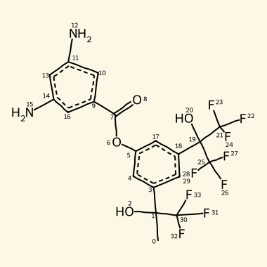 CC(O)(c1cc(OC(=O)c2cc(N)cc(N)c2)cc(C(O)(C(F)(F)F)C(F)(F)F)c1)C(F)(F)F